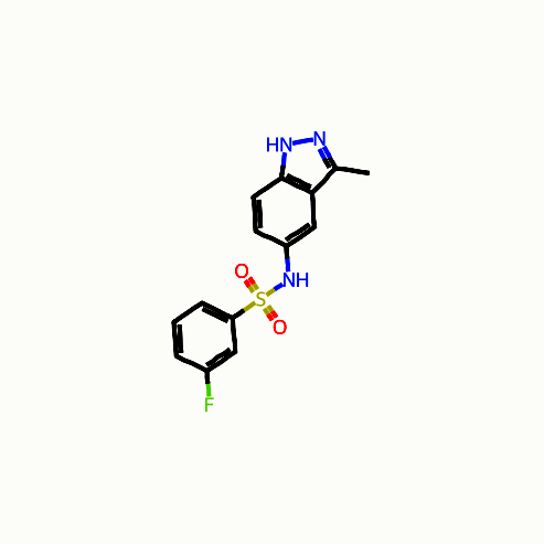 Cc1n[nH]c2ccc(NS(=O)(=O)c3cccc(F)c3)cc12